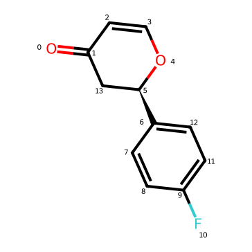 O=C1C=CO[C@@H](c2ccc(F)cc2)C1